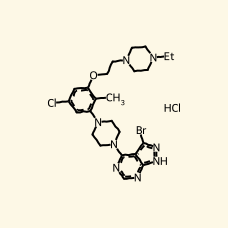 CCN1CCN(CCOc2cc(Cl)cc(N3CCN(c4ncnc5[nH]nc(Br)c45)CC3)c2C)CC1.Cl